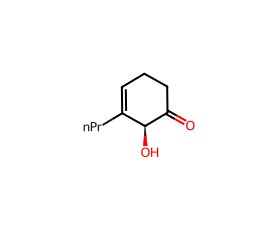 CCCC1=CCCC(=O)[C@H]1O